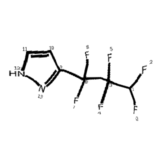 FC(F)C(F)(F)C(F)(F)c1cc[nH]n1